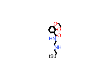 CC(C)(C)CCNCCNC(=O)c1cccc2c1OCCO2